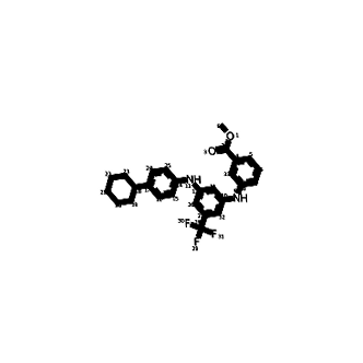 COC(=O)c1cccc(Nc2cc(Nc3ccc(C4CCCCC4)cc3)cc(C(F)(F)F)c2)c1